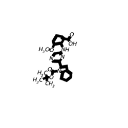 COc1cccc(C(=O)O)c1Nc1cncc(-c2cc3ccccc3n2C(=O)OC(C)(C)C)n1